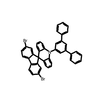 Brc1ccc2c(c1)C1(c3cc(Br)ccc3-2)c2ccccc2N(c2cc(-c3ccccc3)cc(-c3ccccc3)c2)c2ccccc21